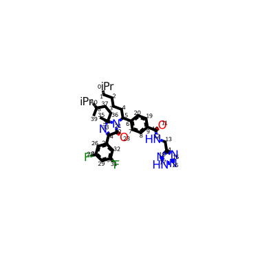 CC(C)CCCCC(c1ccc(C(=O)NCc2nn[nH]n2)cc1)N1C(=O)C(c2cc(F)cc(F)c2)=NC1(C)CCC(C)C(C)C